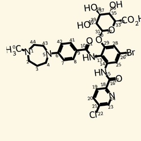 CN1CCCN(c2ccc(C(=O)Nc3c(NC(=O)c4ccc(Cl)cn4)cc(Br)cc3O[C@@H]3O[C@H](C(=O)O)[C@@H](O)[C@H](O)[C@H]3O)cc2)CC1